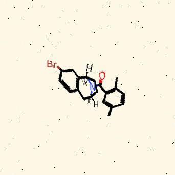 Cc1ccc(C)c(C(=O)N2[C@@H]3CC[C@H]2c2cc(Br)ccc2C3)c1